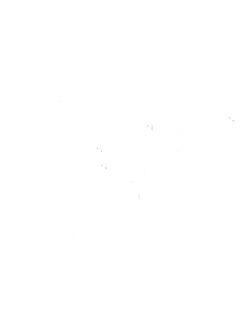 CCCC(CCC(C)CN(CC(=O)c1c(Cl)cncc1Cl)C(=O)c1cnn(C2CCC(C(=O)O)CC2)c1C(F)(F)F)C12CCC(CC1)C2